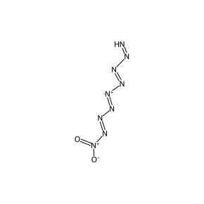 N=NN=N[N+]=NN=N[N+](=O)[O-]